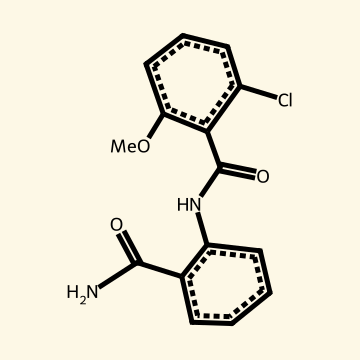 COc1cccc(Cl)c1C(=O)Nc1ccccc1C(N)=O